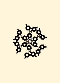 Cc1ccc2c(c1)c1cc(C)ccc1n2-c1ccc(P2(c3ccc(-n4c5ccc(C)cc5c5cc(C)ccc54)cc3)=NP(c3ccc(-n4c5ccc(C)cc5c5cc(C)ccc54)cc3)(c3ccc(-n4c5ccc(C)cc5c5cc(C)ccc54)cc3)=NP(c3ccc(-n4c5ccc(C)cc5c5cc(C)ccc54)cc3)(c3ccc(-n4c5ccc(C)cc5c5cc(C)ccc54)cc3)=N2)cc1